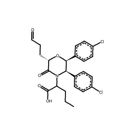 CCCC(C(=O)O)N1C(=O)[C@H](CCC=O)O[C@@H](c2ccc(Cl)cc2)[C@H]1c1ccc(Cl)cc1